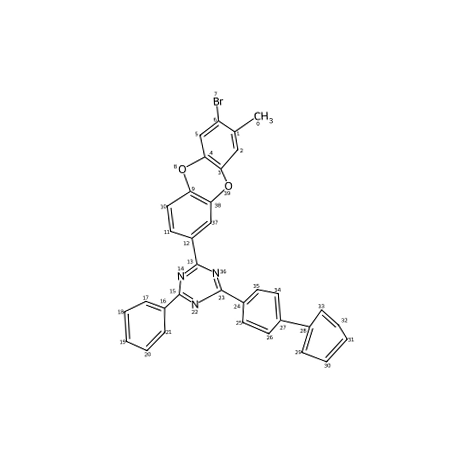 Cc1cc2c(cc1Br)Oc1ccc(-c3nc(-c4ccccc4)nc(-c4ccc(-c5ccccc5)cc4)n3)cc1O2